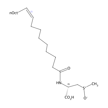 CCCCCCCC/C=C\CCCCCCCC(=O)N[C@H](C[S+](C)[O-])C(=O)O